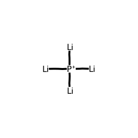 [Li][P+]([Li])([Li])[Li]